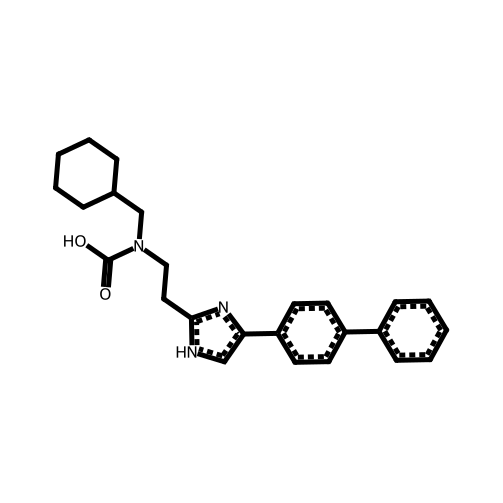 O=C(O)N(CCc1nc(-c2ccc(-c3ccccc3)cc2)c[nH]1)CC1CCCCC1